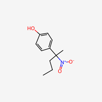 CCCC(C)(c1ccc(O)cc1)[N+](=O)[O-]